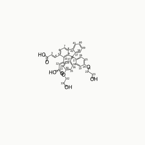 O=C(O)C=Cc1ccc2c(c1C=CC(=O)O)C(c1ccc(OCCO)cc1)(c1ccc(OCCO)cc1)c1ccccc1-2